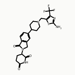 Nc1nc(C(F)(F)F)c(CN2CCC(c3ccc4c(c3)CN(C3CCC(=O)NC3=O)C4=O)CC2)s1